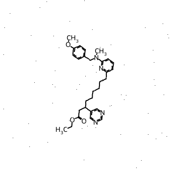 CCOC(=O)CC(CCCCCCc1cccc(N(C)Cc2ccc(OC)cc2)n1)c1cncnc1